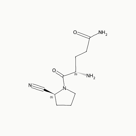 N#C[C@@H]1CCCN1C(=O)[C@@H](N)CCC(N)=O